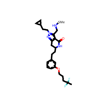 CSNCc1c2c(nn1CCC1CC1)CC(CCc1cccc(OCCCC(C)(F)F)c1)NC2=O